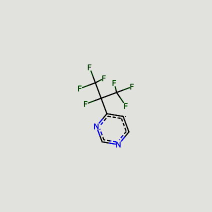 FC(F)(F)C(F)(c1[c]cncn1)C(F)(F)F